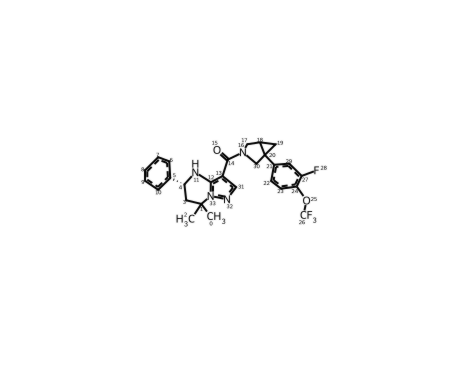 CC1(C)C[C@H](c2ccccc2)Nc2c(C(=O)N3CC4CC4(c4ccc(OC(F)(F)F)c(F)c4)C3)cnn21